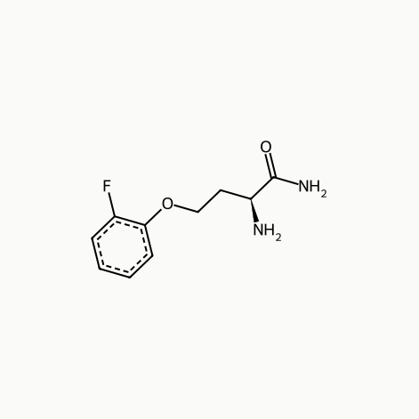 NC(=O)[C@@H](N)CCOc1ccccc1F